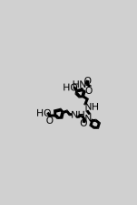 O=C1COc2c(CCNCCN(C(=O)CCNCCc3ccc(C(=O)O)cc3)C3CCCCC3)ccc(O)c2N1